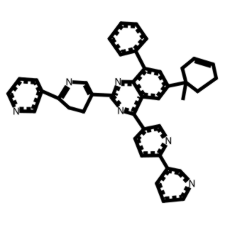 CC1(c2cc(-c3ccccc3)c3nc(C4=CN=C(c5cccnc5)CC4)nc(-c4ccc(-c5cccnc5)nc4)c3c2)CC=CCC1